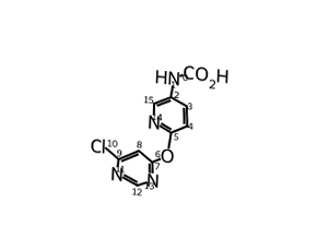 O=C(O)Nc1ccc(Oc2cc(Cl)ncn2)nc1